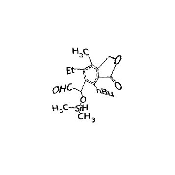 CCCCc1c2c(c(C)c(CC)c1C(C=O)O[SiH](C)C)COC2=O